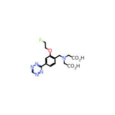 O=C(O)CN(CC(=O)O)Cc1ccc(-c2nncnn2)cc1OCCF